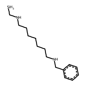 [SiH3]CNCCCCCCCNCc1ccccc1